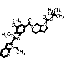 CCn1c(-c2nc3cc(C(=O)N4CCC5CCN(C(=O)OC(C)(C)C)C5C4)cc(OC)c3n2C)cc2cccnc21